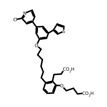 O=C(O)CCCOc1cccc(CCCCCCOc2cc(-c3ccsc3)cc(-c3ccnc(Cl)c3)c2)c1CCC(=O)O